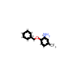 Nc1cc(C(F)(F)F)ccc1OCc1ccccc1